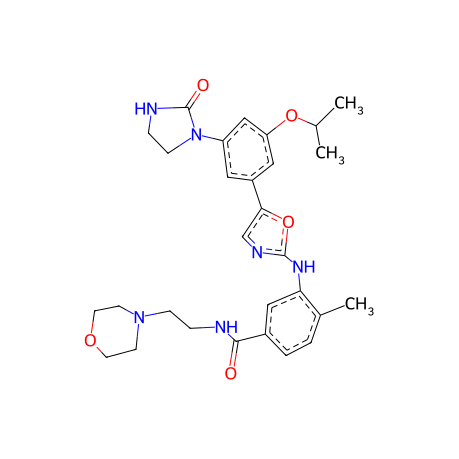 Cc1ccc(C(=O)NCCN2CCOCC2)cc1Nc1ncc(-c2cc(OC(C)C)cc(N3CCNC3=O)c2)o1